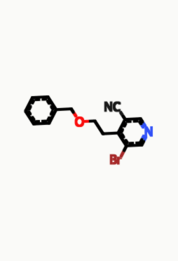 N#Cc1cncc(Br)c1CCOCc1ccccc1